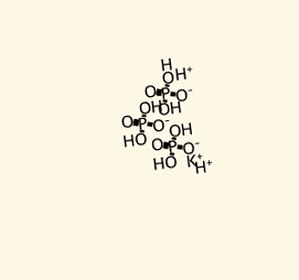 O=P([O-])(O)O.O=P([O-])(O)O.O=P([O-])(O)O.[H+].[H+].[K+]